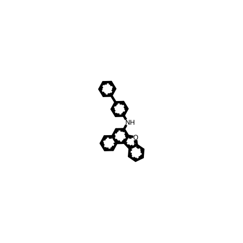 c1ccc(-c2ccc(Nc3cc4ccccc4c4c3oc3ccccc34)cc2)cc1